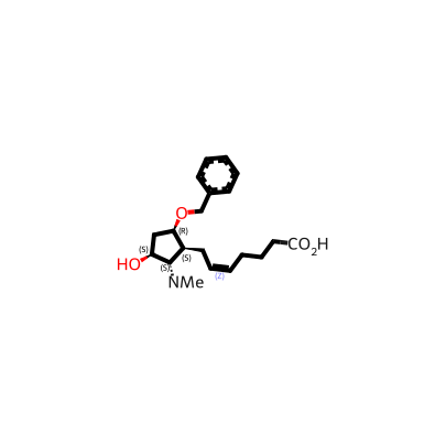 CN[C@H]1[C@H](C/C=C\CCCC(=O)O)[C@H](OCc2ccccc2)C[C@@H]1O